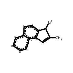 [Li][CH]1C(C)=Cc2c1ccc1ccccc21